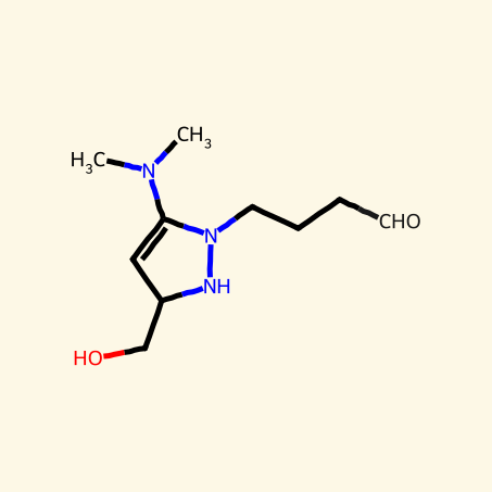 CN(C)C1=CC(CO)NN1CCCC=O